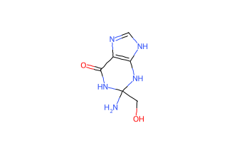 NC1(CO)NC(=O)c2nc[nH]c2N1